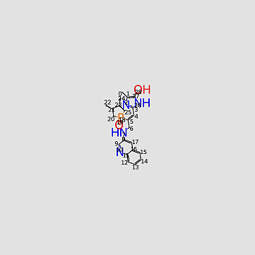 Cc1nc(C=C(CNc2cnc3ccccc3c2)P2(=O)C[C@@H](C)[C@@H](C)C2)[nH]c1O